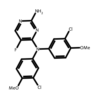 COc1ccc(N(c2ccc(OC)c(Cl)c2)c2nc(N)ncc2F)cc1Cl